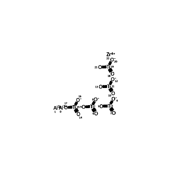 [Al+3].[Al+3].[O]=[Ti]([O-])[O-].[O]=[Ti]([O-])[O-].[O]=[Ti]([O-])[O-].[O]=[Ti]([O-])[O-].[O]=[Ti]([O-])[O-].[Zr+4]